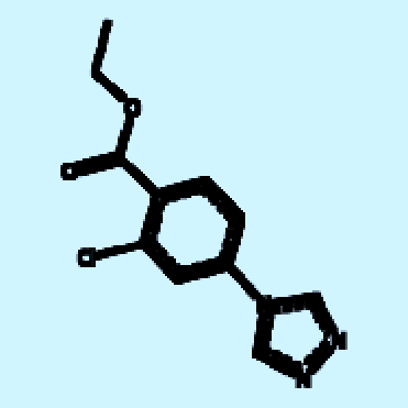 CCOC(=O)c1ccc(-n2cnnc2)cc1Cl